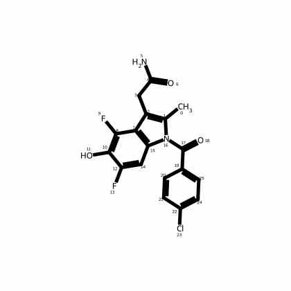 Cc1c(CC(N)=O)c2c(F)c(O)c(F)cc2n1C(=O)c1ccc(Cl)cc1